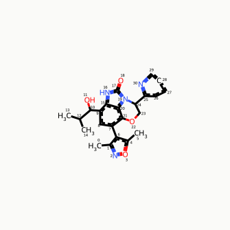 Cc1noc(C)c1-c1cc(C(O)C(C)C)c2[nH]c(=O)n3c2c1OCC3c1ccccn1